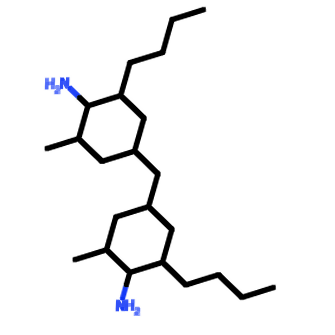 CCCCC1CC(CC2CC(C)C(N)C(CCCC)C2)CC(C)C1N